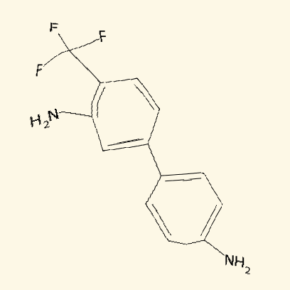 Nc1ccc(-c2ccc(C(F)(F)F)c(N)c2)cc1